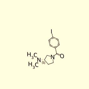 CN(C)[C@H]1CCN(C(=O)c2ccc(I)cc2)C1